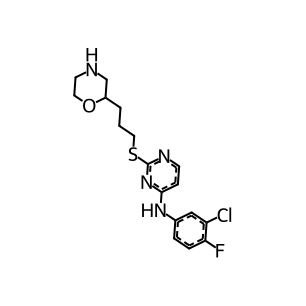 Fc1ccc(Nc2ccnc(SCCCC3CNCCO3)n2)cc1Cl